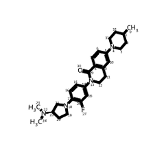 CC1CCN(c2ccc3c(c2)CCN(c2ccc(N4CC[C@@H](N(C)C)C4)c(F)c2)C3=O)CC1